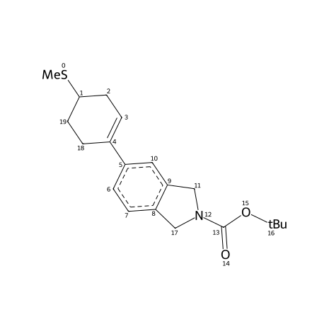 CSC1CC=C(c2ccc3c(c2)CN(C(=O)OC(C)(C)C)C3)CC1